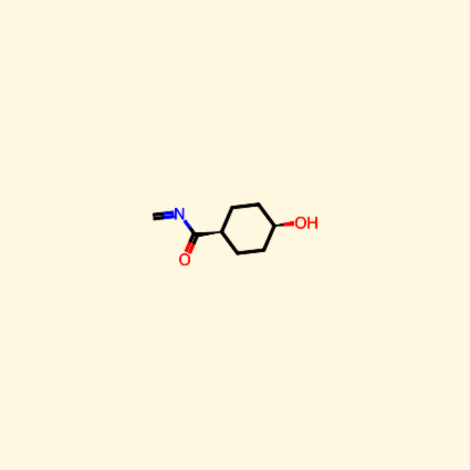 C=NC(=O)[C@H]1CC[C@@H](O)CC1